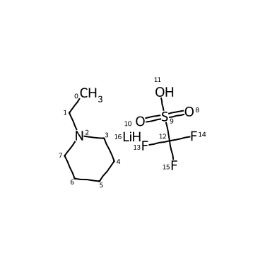 CCN1CCCCC1.O=S(=O)(O)C(F)(F)F.[LiH]